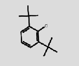 CC(C)(C)c1[c]ccc(C(C)(C)C)c1Cl